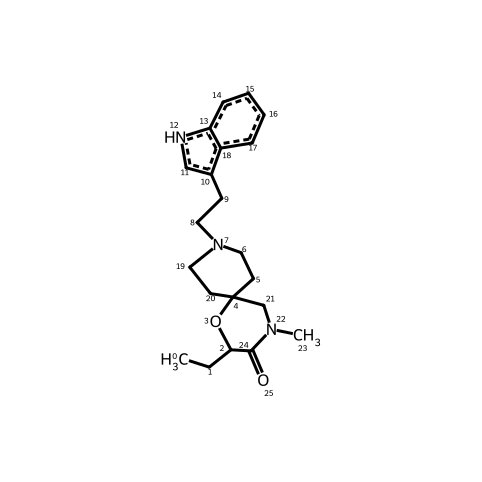 CCC1OC2(CCN(CCc3c[nH]c4ccccc34)CC2)CN(C)C1=O